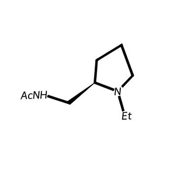 CCN1CCC[C@@H]1CNC(C)=O